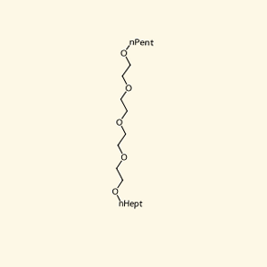 CCCCCCCOCCOCCOCCOCCOCCCCC